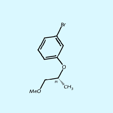 COC[C@@H](C)Oc1cccc(Br)c1